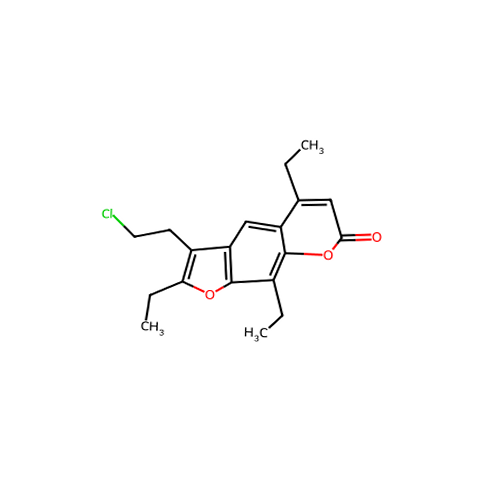 CCc1oc2c(CC)c3oc(=O)cc(CC)c3cc2c1CCCl